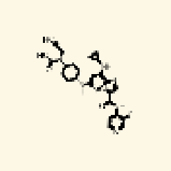 C#CCN(C(=O)O)[C@H]1CC[C@H](Nc2cc(NC3CC3)c3ncc(C(=O)Nc4ccncc4F)n3n2)CC1